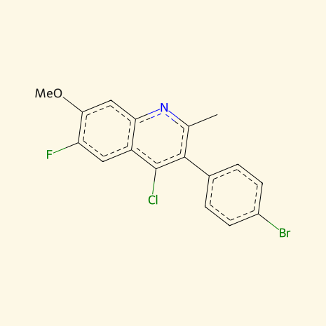 COc1cc2nc(C)c(-c3ccc(Br)cc3)c(Cl)c2cc1F